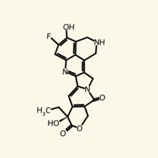 CC[C@@]1(O)C(=O)OCc2c1cc1n(c2=O)Cc2c-1nc1cc(F)c(O)c3c1c2CNC3